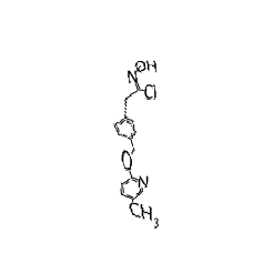 Cc1ccc(OCc2ccc(CC(Cl)=NO)cc2)nc1